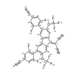 N#CC(C#N)=C1c2cc(OC(F)(F)F)c(-c3c(F)cc(C#N)cc3F)cc2-c2cc(-c3c(F)cc(C#N)cc3F)c(OC(F)(F)F)cc21